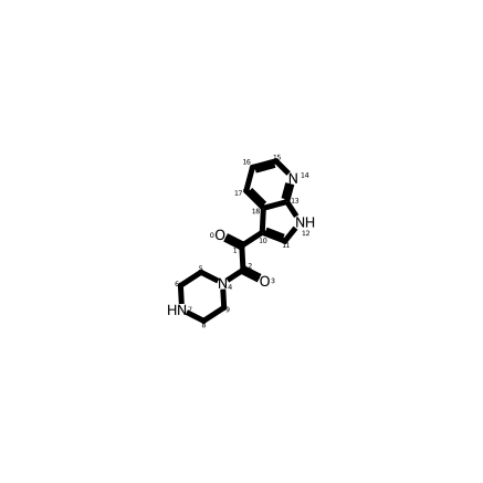 O=C(C(=O)N1CCNCC1)c1c[nH]c2ncccc12